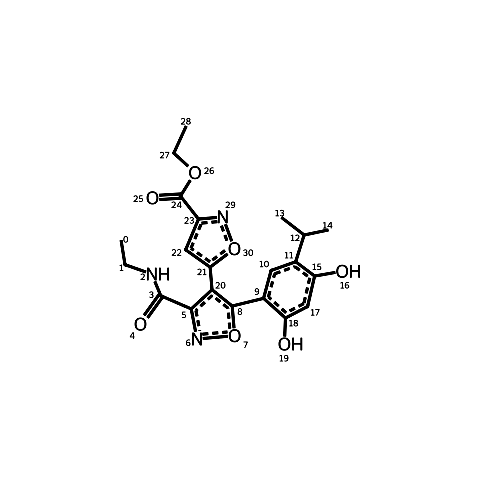 CCNC(=O)c1noc(-c2cc(C(C)C)c(O)cc2O)c1-c1cc(C(=O)OCC)no1